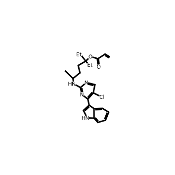 C=CC(=O)OC(CC)(CC)CCC(C)Nc1ncc(Cl)c(-c2c[nH]c3ccccc23)n1